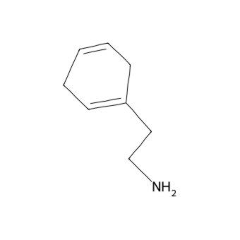 NCCC1=CCC=CC1